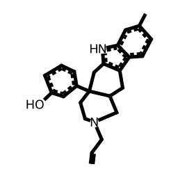 C=CCN1CCC2(c3cccc(O)c3)Cc3[nH]c4cc(C)ccc4c3CC2C1